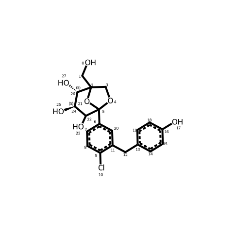 OCC12COC(c3ccc(Cl)c(Cc4ccc(O)cc4)c3)(O1)C(O)[C@@H](O)[C@@H]2O